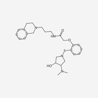 CN(C)C1CN(Sc2ccccc2OCC(=O)NCCCN2CCc3ccccc3C2)CC1O